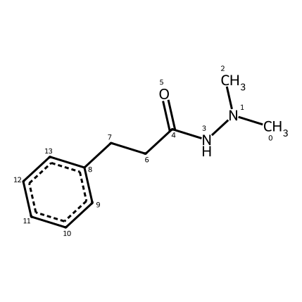 CN(C)NC(=O)CCc1ccccc1